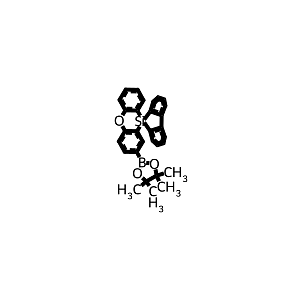 CC1(C)OB(c2ccc3c(c2)[Si]2(c4ccccc4O3)c3ccccc3-c3ccccc32)OC1(C)C